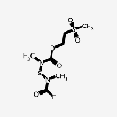 CN(SN(C)C(=O)OCCS(C)(=O)=O)C(=O)F